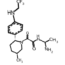 CC(N)NC(=O)C(=O)N1C[C@@H](C)CC[C@@H]1c1ccc(NCC(F)(F)F)cc1